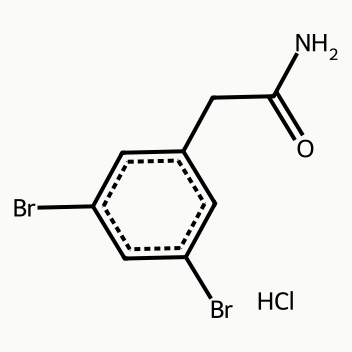 Cl.NC(=O)Cc1cc(Br)cc(Br)c1